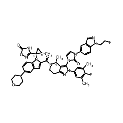 Cc1cc(-n2nc3c(c2-n2ccn(-c4ccc5c(cnn5CCF)c4)c2=O)[C@H](C)N(C(=O)c2cc4cc(C5CCOCC5)ccc4n2[C@@]2(c4noc(=O)[nH]4)C[C@@H]2C)CC3)cc(C)c1F